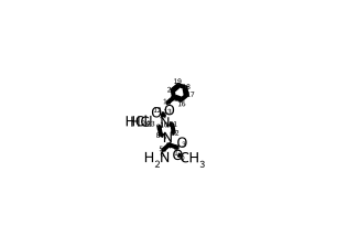 COC(=O)C(CN)N1CCN(C(=O)OCc2ccccc2)CC1.Cl.Cl